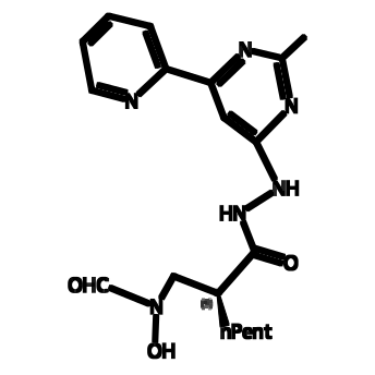 CCCCC[C@@H](CN(O)C=O)C(=O)NNc1cc(-c2ccccn2)nc(C)n1